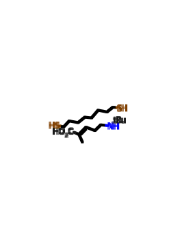 CC(=CCCNC(C)(C)C)C(=O)O.SCCCCCCCCS